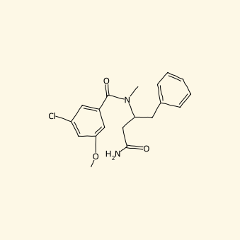 COc1cc(Cl)cc(C(=O)N(C)C(CC(N)=O)Cc2ccccc2)c1